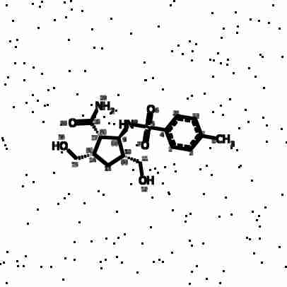 Cc1ccc(S(=O)(=O)N[C@H]2[C@H](CO)C[C@H](CO)[C@@H]2C(N)=O)cc1